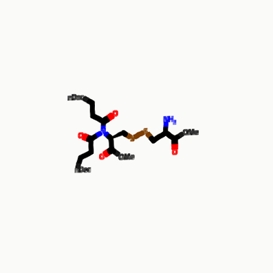 CCCCCCCCCCCCC(=O)N(C(=O)CCCCCCCCCCCC)[C@@H](CSSCC(N)C(=O)OC)C(=O)OC